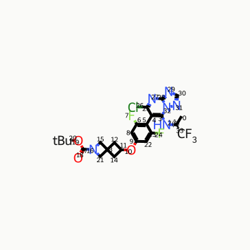 C[C@H](Nc1c(-c2c(F)cc(OC3CC4(C3)CN(C(=O)OC(C)(C)C)C4)cc2F)c(Cl)nc2ncnn12)C(F)(F)F